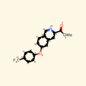 COC(=O)c1cc2cc(Oc3ccc(C(F)(F)F)cc3)ccc2cn1